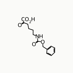 O=C(NCCCCC(=O)C(=O)O)OCc1ccccc1